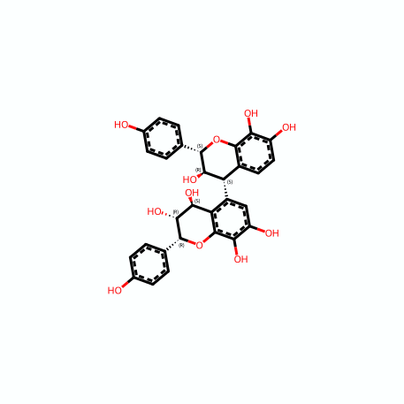 Oc1ccc([C@H]2Oc3c(O)c(O)cc([C@H]4c5ccc(O)c(O)c5O[C@@H](c5ccc(O)cc5)[C@@H]4O)c3[C@H](O)[C@H]2O)cc1